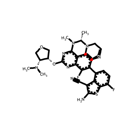 C[C@H](N1C=CN=CC1)N(C)c1nc(O[C@H]2COC[C@H]2N(C)C)nc2c(F)c(-c3ccc(F)c4sc(N)c(C#N)c34)c(Cl)cc12